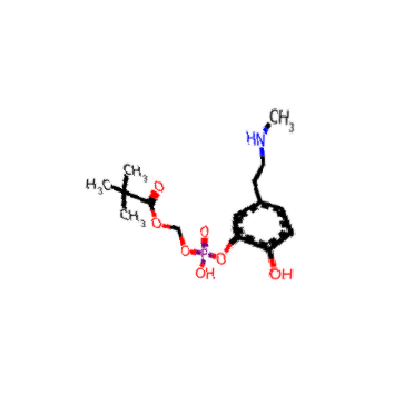 CNCCc1ccc(O)c(OP(=O)(O)OCOC(=O)C(C)(C)C)c1